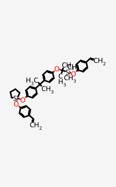 C=Cc1ccc(O[Si]2(Oc3ccc(C(C)(C)c4ccc(OC(C)(C)[Si](C)(C)Oc5ccc(C=C)cc5)cc4)cc3)CCCC2)cc1